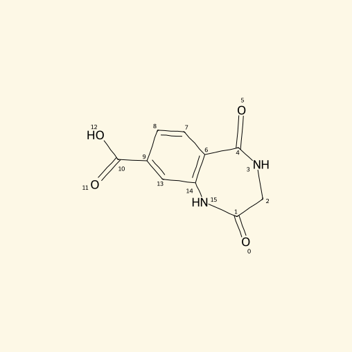 O=C1CNC(=O)c2ccc(C(=O)O)cc2N1